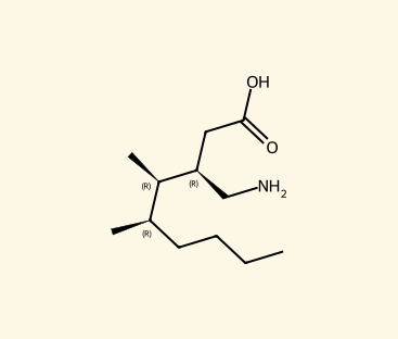 CCCC[C@@H](C)[C@@H](C)[C@H](CN)CC(=O)O